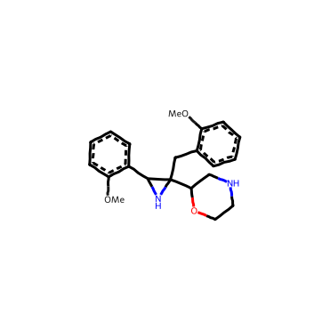 COc1ccccc1CC1(C2CNCCO2)NC1c1ccccc1OC